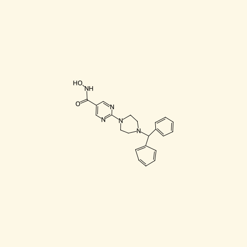 O=C(NO)c1cnc(N2CCN(C(c3ccccc3)c3ccccc3)CC2)nc1